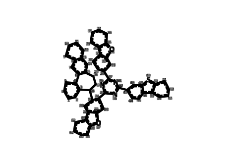 c1ccc2c(c1)-c1cc3ccccc3cc1CCC2c1cc2c(cc1-c1nc(-c3ccc4c(c3)oc3ccccc34)nc(-c3ccc4c(c3)sc3ccccc34)n1)oc1ccccc12